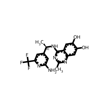 Cc1nc(N[C@H](C)c2cc(N)nc(C(F)(F)F)c2)c2cc(O)c(O)cc2n1